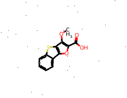 COc1c(C(=O)O)oc2c1sc1ccccc12